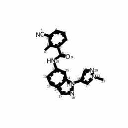 Cc1c(C#N)cccc1C(=O)Nc1ccc2cnn(-c3cnn(C)c3)c2c1